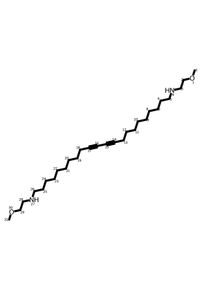 COCCNCCCCCCCCCC#CC#CCCCCCCCCCNCCOC